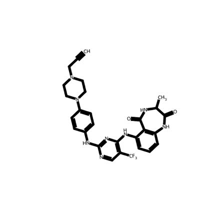 C#CCN1CCN(c2ccc(Nc3ncc(C(F)(F)F)c(Nc4cccc5c4C(=O)NC(C)C(=O)N5)n3)cc2)CC1